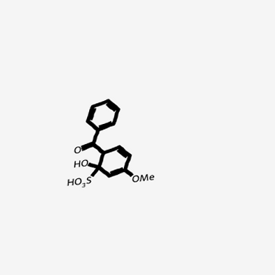 COC1=CC(O)(S(=O)(=O)O)C(C(=O)c2ccccc2)C=C1